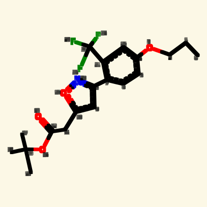 CCCOc1ccc(-c2cc(CC(=O)OC(C)(C)C)on2)c(C(F)(F)F)c1